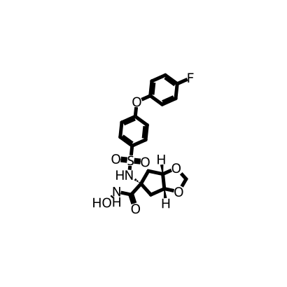 O=C(NO)[C@@]1(NS(=O)(=O)c2ccc(Oc3ccc(F)cc3)cc2)C[C@@H]2OCO[C@@H]2C1